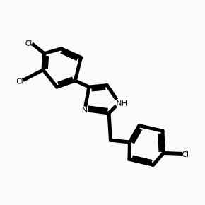 Clc1ccc(Cc2nc(-c3ccc(Cl)c(Cl)c3)c[nH]2)cc1